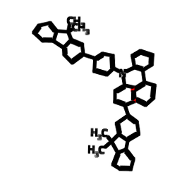 CC1(C)c2ccccc2-c2ccc(-c3ccc(N(C4=C(c5ccccc5)C=C=C=C4)c4ccc(-c5ccc6c(c5)C(C)(C)c5ccccc5-6)cc4)cc3)cc21